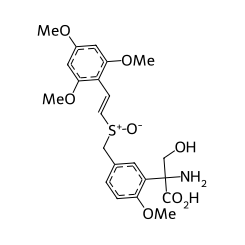 COc1cc(OC)c(C=C[S+]([O-])Cc2ccc(OC)c(C(N)(CO)C(=O)O)c2)c(OC)c1